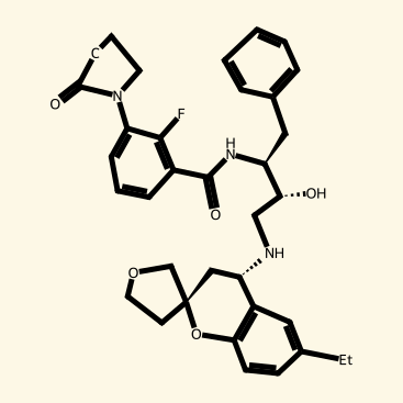 CCc1ccc2c(c1)[C@@H](NC[C@@H](O)[C@H](Cc1ccccc1)NC(=O)c1cccc(N3CCCC3=O)c1F)C[C@]1(CCOC1)O2